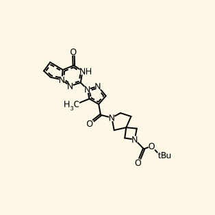 Cc1c(C(=O)N2CCC3(CN(C(=O)OC(C)(C)C)C3)C2)cnn1-c1nn2cccc2c(=O)[nH]1